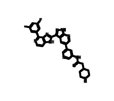 Cc1cc(F)cc(-c2nccc3[nH]c(-c4n[nH]c5ncc(-c6cncc(NC(=O)CC7CCNCC7)c6)cc45)nc23)c1